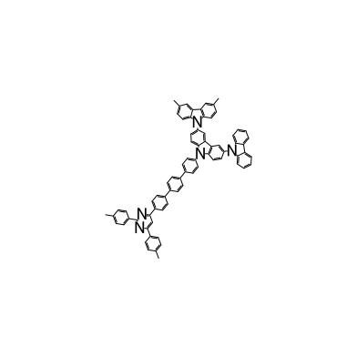 Cc1ccc(-c2cc(-c3ccc(-c4ccc(-c5ccc(-n6c7ccc(-n8c9ccccc9c9ccccc98)cc7c7cc(-n8c9ccc(C)cc9c9cc(C)ccc98)ccc76)cc5)cc4)cc3)nc(-c3ccc(C)cc3)n2)cc1